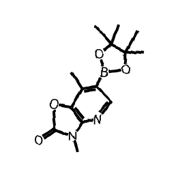 Cc1c(B2OC(C)(C)C(C)(C)O2)cnc2c1oc(=O)n2C